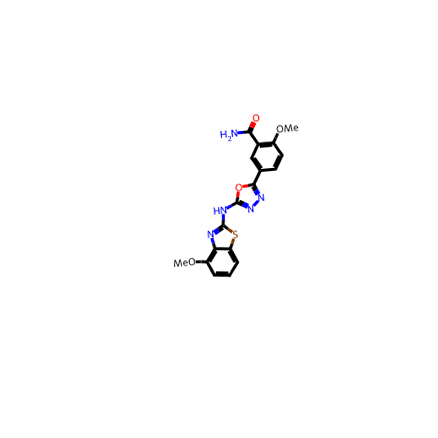 COc1ccc(-c2nnc(Nc3nc4c(OC)cccc4s3)o2)cc1C(N)=O